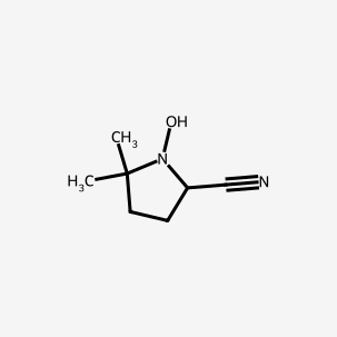 CC1(C)CCC(C#N)N1O